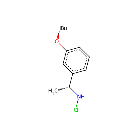 CC[C@H](C)Oc1cccc([C@@H](C)NCl)c1